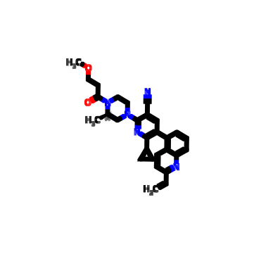 C=Cc1ccc2c(-c3cc(C#N)c(N4CCN(C(=O)CCOC)[C@H](C)C4)nc3C3CC3)cccc2n1